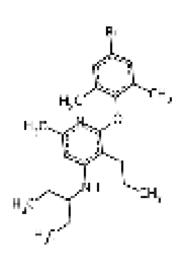 CCCc1c(NC(CC)CC)cc(C)nc1Oc1c(C)cc(Br)cc1C